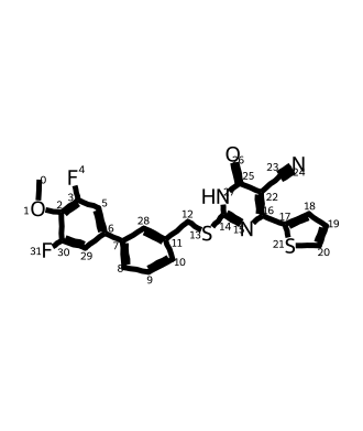 COc1c(F)cc(-c2cccc(CSc3nc(-c4cccs4)c(C#N)c(=O)[nH]3)c2)cc1F